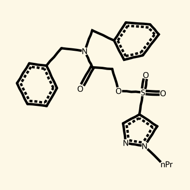 CCCn1cc(S(=O)(=O)OCC(=O)N(Cc2ccccc2)Cc2ccccc2)cn1